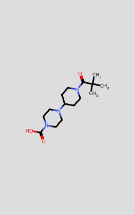 CC(C)(C)C(=O)N1CCC(N2CCN(C(=O)O)CC2)CC1